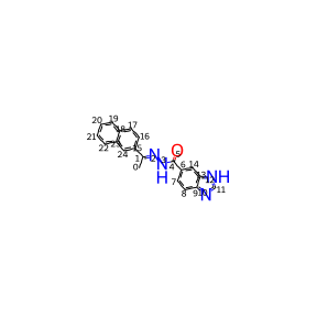 CC(=NNC(=O)c1ccc2nc[nH]c2c1)c1ccc2ccccc2c1